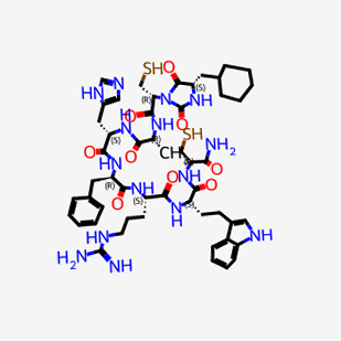 C[C@@H](NC(=O)[C@H](CS)N1C(=O)N[C@@H](CC2CCCCC2)C1=O)C(=O)N[C@@H](Cc1cnc[nH]1)C(=O)N[C@H](Cc1ccccc1)C(=O)N[C@@H](CCCNC(=N)N)C(=O)N[C@@H](CCc1c[nH]c2ccccc12)C(=O)N[C@@H](CS)C(N)=O